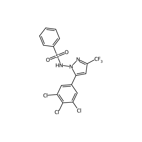 O=S(=O)(Nn1nc(C(F)(F)F)cc1-c1cc(Cl)c(Cl)c(Cl)c1)c1ccccc1